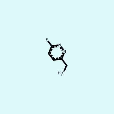 C[CH]c1ccc(F)nn1